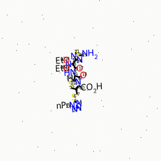 CCCn1nnnc1SCC1=C(C(=O)O)N2C(=O)C(NC(=O)C(c3nsc(N)n3)N(OCC)OCC)[C@@H]2SC1